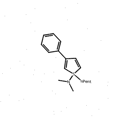 CCCCCS1(N(C)C)C=CC(c2ccccc2)=C1